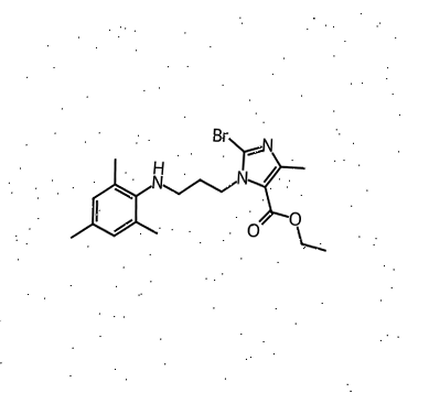 CCOC(=O)c1c(C)nc(Br)n1CCCNc1c(C)cc(C)cc1C